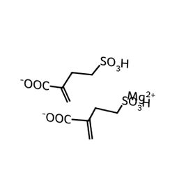 C=C(CCS(=O)(=O)O)C(=O)[O-].C=C(CCS(=O)(=O)O)C(=O)[O-].[Mg+2]